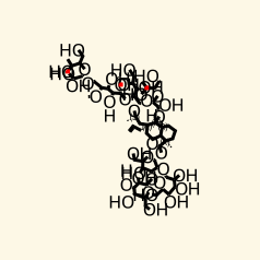 C=CC[C@@]12CCC3[C@](C)(C(=O)OC4OC(CO)C(O)C(OC5OC(CO)C(O)C(O)C5O)C4OC4OC(CO)C(O)C(O)C4O)CCC[C@@]3(C)[C@@H]1OC(O)C(OC(CO)C(C)O)OC(C(OC(O)C(O)C(O)C(COC(OC(CO)C(C)O)C(O)O)OC)C(O)C(CO)OC)O[C@@H](C)C2